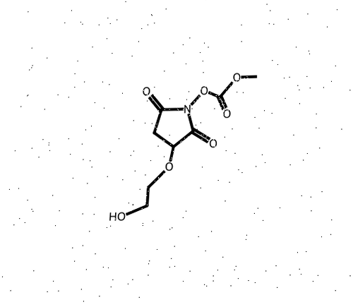 COC(=O)ON1C(=O)CC(OCCO)C1=O